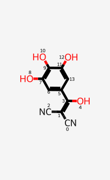 N#CC(C#N)=C(O)c1cc(O)c(O)c(O)c1